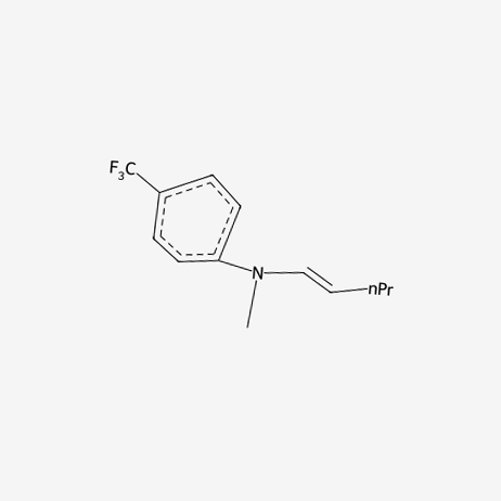 [CH2]CCC=CN(C)c1ccc(C(F)(F)F)cc1